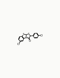 O=C1C(c2ccc(Cl)cc2)SC2Sc3ccc(Cl)cc3N12